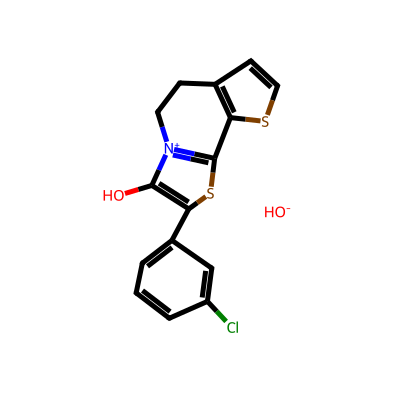 Oc1c(-c2cccc(Cl)c2)sc2[n+]1CCc1ccsc1-2.[OH-]